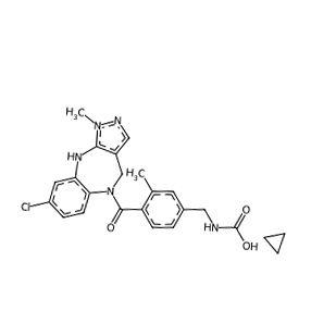 C1CC1.Cc1cc(CNC(=O)O)ccc1C(=O)N1Cc2cnn(C)c2Nc2cc(Cl)ccc21